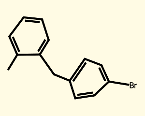 Cc1ccccc1Cc1ccc(Br)cc1